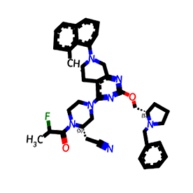 Cc1cccc2cccc(N3CCc4c(nc(OC[C@@H]5CCCN5Cc5ccccc5)nc4N4CCN(C(=O)C(C)F)[C@@H](CC#N)C4)C3)c12